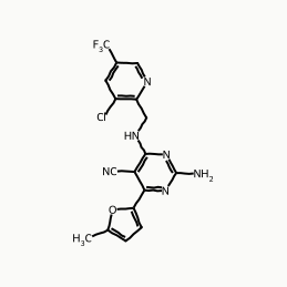 Cc1ccc(-c2nc(N)nc(NCc3ncc(C(F)(F)F)cc3Cl)c2C#N)o1